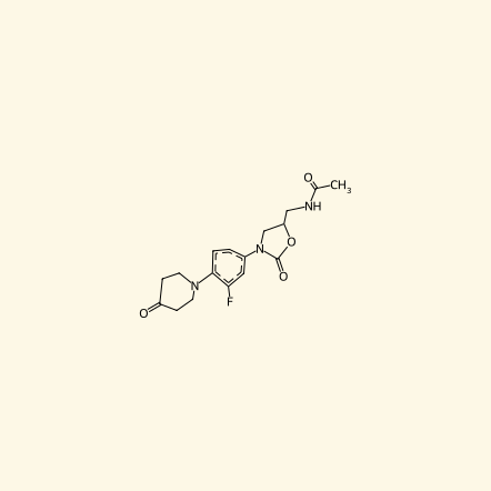 CC(=O)NCC1CN(c2ccc(N3CCC(=O)CC3)c(F)c2)C(=O)O1